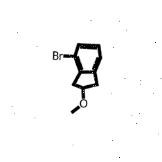 COC1Cc2cccc(Br)c2C1